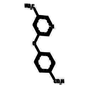 O=C(O)c1ccc(Oc2cncc(C(=O)O)c2)cc1